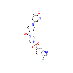 COc1ncc(N2CCC(C(=O)N3CCN(S(=O)(=O)c4ccc5c(Cl)c[nH]c5c4)CC3)CC2)cc1C